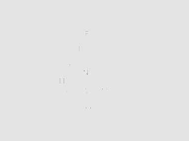 [2H]C([2H])(C#C)N(C1c2ccccc2CC1[18F])S(=O)(=O)O